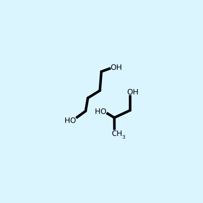 CC(O)CO.OCCCCO